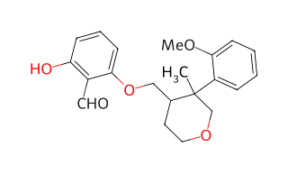 COc1ccccc1C1(C)COCCC1COc1cccc(O)c1C=O